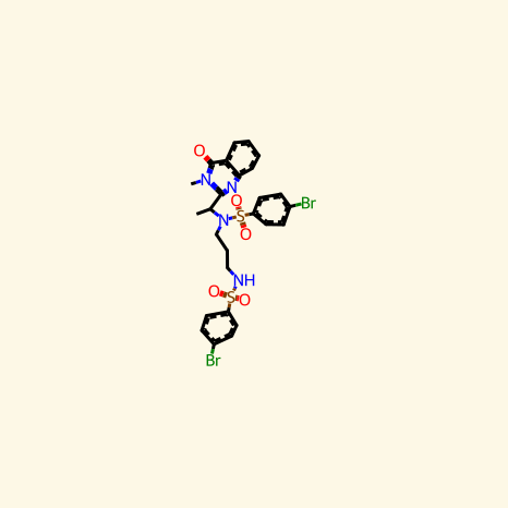 CC(c1nc2ccccc2c(=O)n1C)N(CCCNS(=O)(=O)c1ccc(Br)cc1)S(=O)(=O)c1ccc(Br)cc1